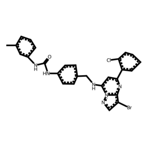 Cc1cccc(NC(=O)Nc2ccc(CNc3cc(-c4ccccc4Cl)nc4c(Br)cnn34)cc2)c1